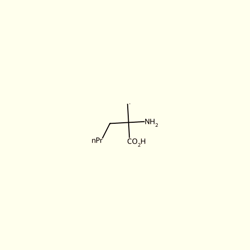 [CH2]C(N)(CCCC)C(=O)O